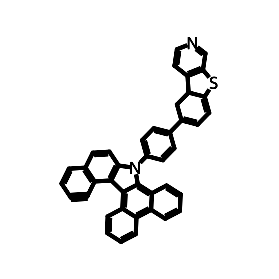 c1ccc2ccc3c(c2c#1)c1c2ccccc2c2ccccc2c1n3-c1ccc(C2=CC=C3Sc4cnccc4C3C2)cc1